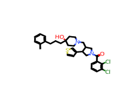 Cc1ccccc1CCCC1(O)CCN(CC2CN(C(=O)c3cccc(Cl)c3Cl)CC2c2ccsc2)CC1